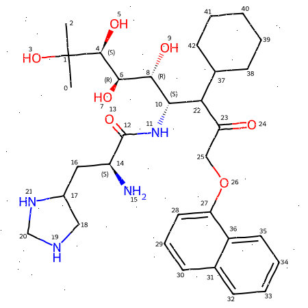 CC(C)(O)[C@@H](O)[C@H](O)[C@H](O)[C@@H](NC(=O)[C@@H](N)CC1CNCN1)C(C(=O)COc1cccc2ccccc12)C1CCCCC1